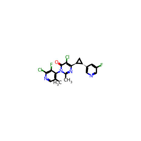 Cc1cnc(Cl)c(F)c1-n1c(C)nc([C@H]2C[C@@H]2c2cncc(F)c2)c(Cl)c1=O